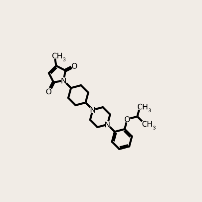 CC1=CC(=O)N(C2CCC(N3CCN(c4ccccc4OC(C)C)CC3)CC2)C1=O